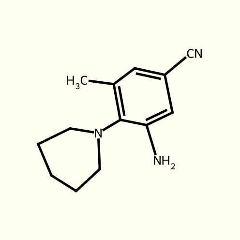 Cc1cc(C#N)cc(N)c1N1CCCCC1